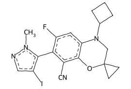 Cn1ncc(I)c1-c1c(F)cc2c(c1C#N)OC1(CC1)CN2C1CCC1